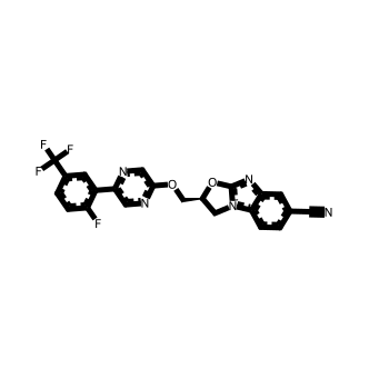 N#Cc1ccc2c(c1)nc1n2C[C@@H](COc2cnc(-c3cc(C(F)(F)F)ccc3F)cn2)O1